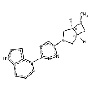 CN1C[C@H]2CN(c3ccc(-c4cccc5[nH]ccc45)nn3)C[C@H]21